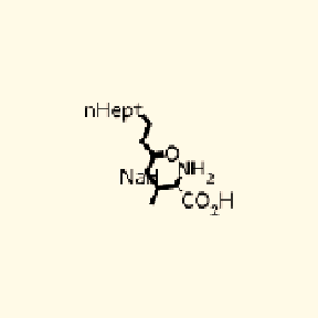 CCCCCCCCCC(=O)CC(C)[C@H](N)C(=O)O.[NaH]